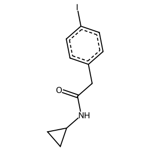 O=C(Cc1ccc(I)cc1)NC1CC1